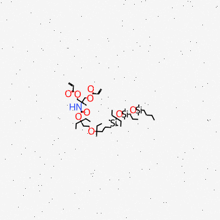 C=CC(=O)OCC(C)(COC(=O)C=C)NC(=O)OC(CC)(CC)CCOC(C)(CC)CCC[Si](C)(C)C(CC)(CC)O[Si](C)(C)C(CC)O[Si](C)(C)CCCC